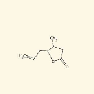 C=CCC1OC(=O)CC1C